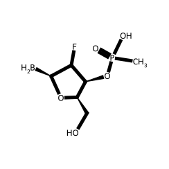 B[C@@H]1O[C@H](CO)[C@H](OP(C)(=O)O)C1F